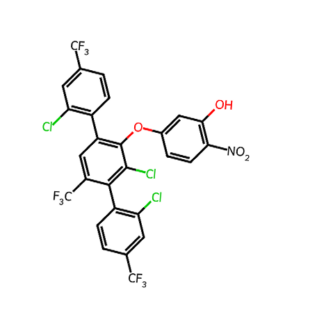 O=[N+]([O-])c1ccc(Oc2c(-c3ccc(C(F)(F)F)cc3Cl)cc(C(F)(F)F)c(-c3ccc(C(F)(F)F)cc3Cl)c2Cl)cc1O